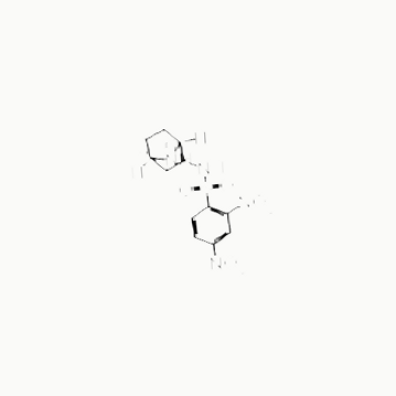 O=[N+]([O-])c1ccc(S(=O)(=O)N[C@H]2C[C@@H]3CC[C@H]2N3)c([N+](=O)[O-])c1